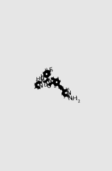 Nc1ccc(C#Cc2ccc3c(c2)C(=O)N([C@@H](C(=O)Nc2ccccn2)c2cc(F)ccc2O)C3)cn1